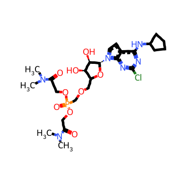 CN(C)C(=O)COP(=O)(COCC1O[C@@H](n2ccc3c(NC4CCCC4)nc(Cl)nc32)[C@H](O)[C@@H]1O)OCC(=O)N(C)C